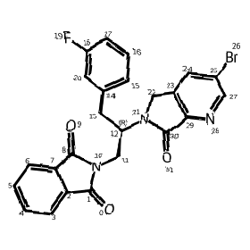 O=C1c2ccccc2C(=O)N1C[C@@H](Cc1cccc(F)c1)N1Cc2cc(Br)cnc2C1=O